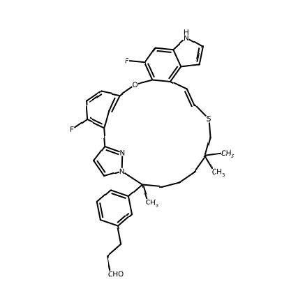 CC1(C)CCCC(C)(c2cccc(CCC=O)c2)n2ccc(n2)-c2cc(ccc2F)Oc2c(F)cc3[nH]ccc3c2/C=C/SC1